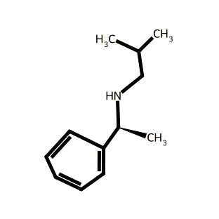 CC(C)CN[C@@H](C)c1ccccc1